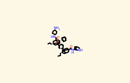 C=C(/C=C\C(=C/C)C12CC3(C(=O)N[C@H]4CC[C@@H](N)CC4)C[C@](CCC)(C1)C[C@@](c1ccccc1)(C3)C2)[C@]12CC3CC(C(=O)NC4CC5CNC4C5)(C[C@](CCC)(C3)C1)C2